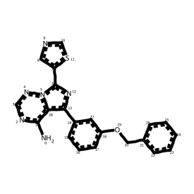 Nc1ncnn2c(-c3cncs3)nc(-c3cccc(OCc4ccccc4)c3)c12